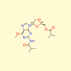 COc1nc(NC(=O)C(C)C)nc2c1ncn2[C@H]1CO[C@@H](COC(=O)C(C)C)O1